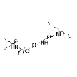 CCCCCC(CCCCC)NCCOCCNCCOCCOC(C)(C)C(F)CNC(=O)C(CCC)CCC